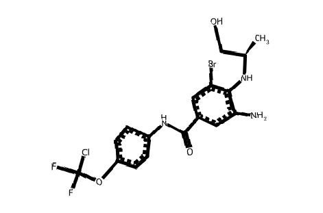 C[C@H](CO)Nc1c(N)cc(C(=O)Nc2ccc(OC(F)(F)Cl)cc2)cc1Br